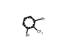 [CH2]C(C)c1cccc(C(C)C)c1C(F)(F)F